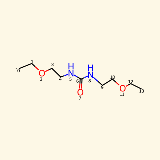 [CH2]COCCNC(=O)NCCOCC